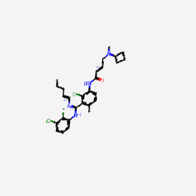 CCC/C=C/N=C(/Nc1cccc(Cl)c1F)c1c(C)ccc(NC(=O)/C=C/CN(C)C2CCC2)c1Cl